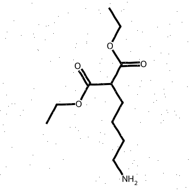 CCOC(=O)C(CCCCN)C(=O)OCC